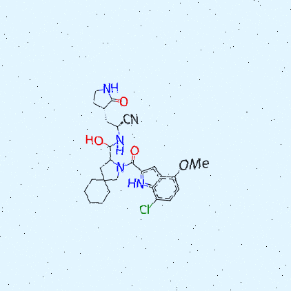 COc1ccc(Cl)c2[nH]c(C(=O)N3CC4(CCCCC4)CC3C(O)N[C@H](C#N)C[C@@H]3CCNC3=O)cc12